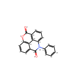 O=c1oc2cccc3c(=O)n(-c4ccccc4)c4cccc1c4c23